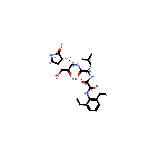 CCc1cccc(CC)c1NC(=O)C(=O)N[C@@H](CC(C)C)C(=O)N[C@@H](C[C@@H]1CCNC1=O)C(=O)CO